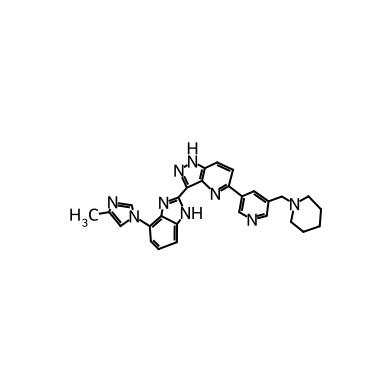 Cc1cn(-c2cccc3[nH]c(-c4n[nH]c5ccc(-c6cncc(CN7CCCCC7)c6)nc45)nc23)cn1